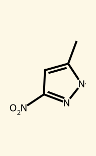 CC1=CC([N+](=O)[O-])=N[N]1